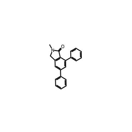 CN1Cc2cc(-c3ccccc3)cc(-c3ccccc3)c2C1=O